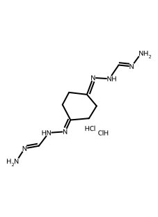 Cl.Cl.NN=CNN=C1CCC(=NNC=NN)CC1